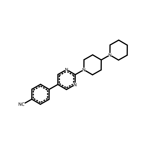 N#Cc1ccc(-c2cnc(N3CCC(N4CCCCC4)CC3)nc2)cc1